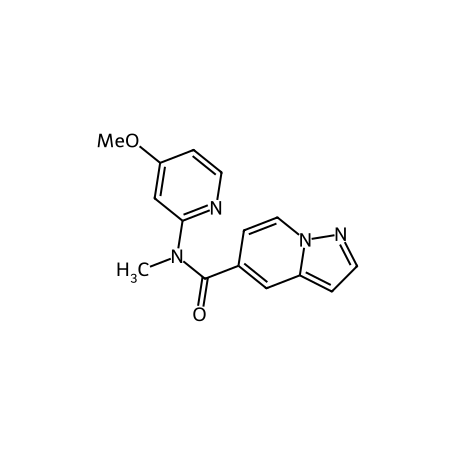 COc1ccnc(N(C)C(=O)c2ccn3nccc3c2)c1